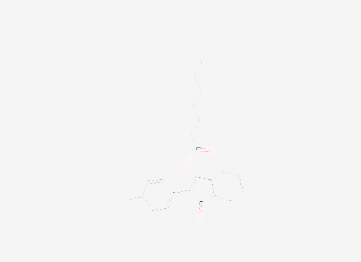 CCCCCCCC(=O)OC1=C(c2ccc(Cl)cc2)C(=O)C2CCCCC12